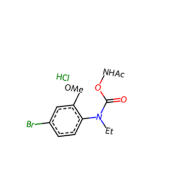 CCN(C(=O)ONC(C)=O)c1ccc(Br)cc1OC.Cl